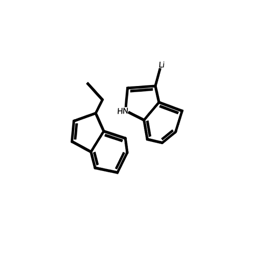 CCC1C=Cc2ccccc21.[Li][c]1c[nH]c2ccccc12